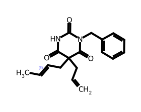 C=CCC1(C/C=C/C)C(=O)NC(=O)N(Cc2ccccc2)C1=O